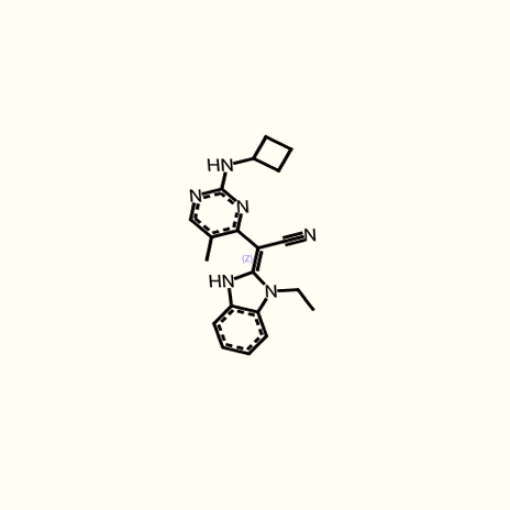 CCN1/C(=C(\C#N)c2nc(NC3CCC3)ncc2C)Nc2ccccc21